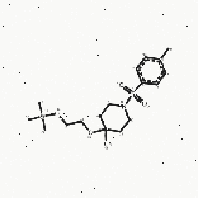 Cc1ccc(S(=O)(=O)N2CCC(C#N)(OCCO[Si](C)(C)C)CC2)cc1